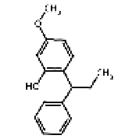 CCC(c1ccccc1)c1ccc(OC)cc1O